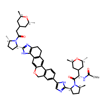 COC(=O)N[C@H](C(=O)N1[C@@H](C)CC[C@H]1c1ncc(-c2ccc3c(c2)COc2cc4c(cc2-3)CCc2nc([C@@H]3CC[C@H](C)N3C(=O)[CH]C3C[C@@H](C)O[C@H](C)C3)[nH]c2-4)[nH]1)C1C[C@@H](C)O[C@H](C)C1